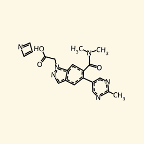 C1=CN=C1.Cc1ncc(-c2cc3cnn(CC(=O)O)c3cc2C(=O)N(C)C)cn1